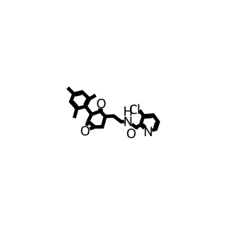 Cc1cc(C)c(C2C(=O)C(CCNC(=O)c3ncccc3Cl)CC3OC32)c(C)c1